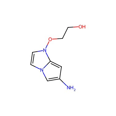 Nc1cc2n(OCCO)ccn2c1